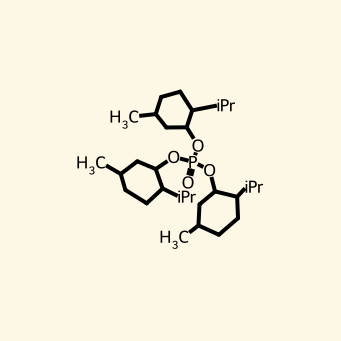 CC1CCC(C(C)C)C(OP(=O)(OC2CC(C)CCC2C(C)C)OC2CC(C)CCC2C(C)C)C1